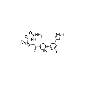 C[C@H]1CN(C(=O)CC2C[C@]2(C(=O)NC(N)=O)C2CC2)CCN1c1cc(F)cc(-c2cn[nH]c2)c1